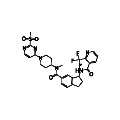 CN(C(=O)c1ccc2c(c1)C(NC(=O)c1cccnc1C(F)(F)F)CC2)C1CCN(c2ccnc(S(C)(=O)=O)n2)CC1